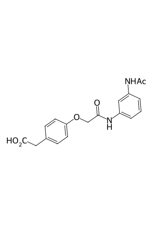 CC(=O)Nc1cccc(NC(=O)COc2ccc(CC(=O)O)cc2)c1